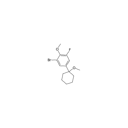 COc1c(F)cc(C2(OC)CCCCC2)cc1Br